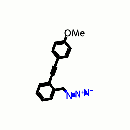 COc1ccc(C#Cc2ccccc2CN=[N+]=[N-])cc1